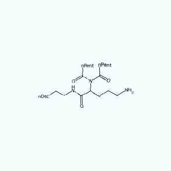 CCCCCCCCCCCCNC(=O)C(CCCN)N(C(=O)CCCCC)C(=O)CCCCC